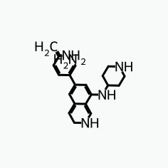 C=C(N)/C=C\C(=C/N)c1cc(NC2CCNCC2)c2c(c1)=CCNC=2